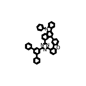 c1ccc(-c2cc(-c3ccccc3)cc(-c3nc(-c4ccccc4)nc(-c4cccc5oc6ccc(-c7ccc8c(c7)c7ccccc7n8-c7ccccc7)cc6c45)n3)c2)cc1